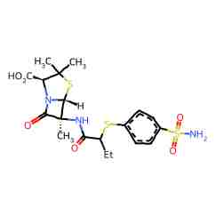 CCC(Sc1ccc(S(N)(=O)=O)cc1)C(=O)N[C@@]1(C)C(=O)N2[C@@H](C(=O)O)C(C)(C)S[C@@H]21